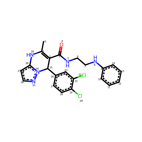 CC1=C(C(=O)NCCNc2ccccc2)C(c2ccc(Cl)c(Cl)c2)n2nccc2N1